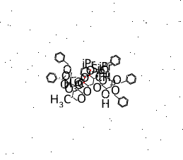 CC1O[C@@H](O[Si](C(C)C)(C(C)C)C(C)C)[C@@H](C)C(O[C@@H]2OC(COCc3ccccc3)[C@@H](OCc3ccccc3)C(OCc3ccccc3)[C@H]2O)[C@H]1O[C@@H]1OC[C@@H](C)C(OC23COC[C@@]2(COCc2ccccc2)O[C@@H](c2ccccc2)O3)[C@H]1OCc1ccccc1